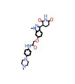 CN1CCN(c2ccc(NC(=O)COc3ccc4c(C5CCC(=O)NC5=O)nn(C)c4c3)cc2)CC1